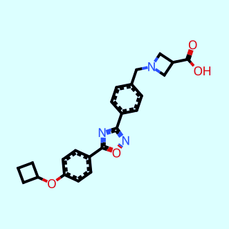 O=C(O)C1CN(Cc2ccc(-c3noc(-c4ccc(OC5CCC5)cc4)n3)cc2)C1